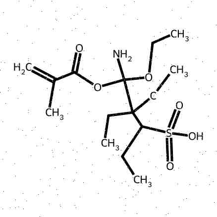 C=C(C)C(=O)OC(N)(OCC)C(CC)(CC)C(CC)S(=O)(=O)O